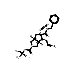 C=CC[C@H]1[C@@H]2CN(C(=O)OC(C)(C)C)C[C@@H]2C[C@@]1(N=[N+]=[N-])C(=O)OCc1ccccc1